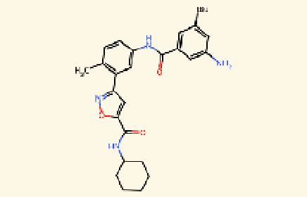 Cc1ccc(NC(=O)c2cc(N)cc(C(C)(C)C)c2)cc1-c1cc(C(=O)NC2CCCCC2)on1